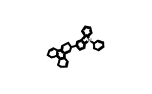 C1=CCC(n2c3ccccc3c3cc(C4C=c5c6c(c7c(c5=CC4)C=CCC7)CCC=C6)ccc32)C=C1